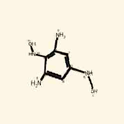 Nc1cc(NO)cc(N)c1NO